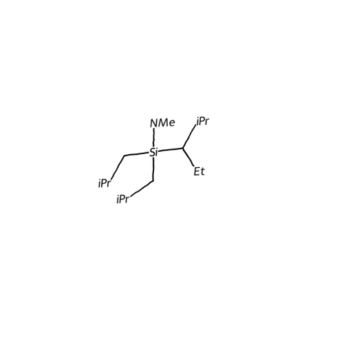 CCC(C(C)C)[Si](CC(C)C)(CC(C)C)NC